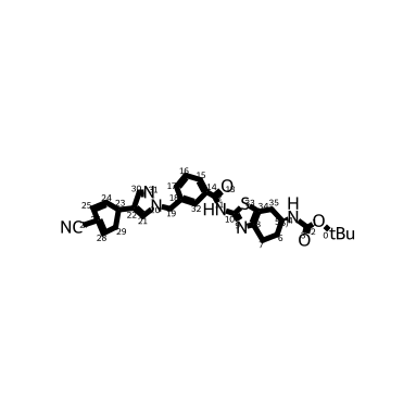 CC(C)(C)OC(=O)N[C@H]1CCc2nc(NC(=O)c3cccc(Cn4cc(C5C=CC(C#N)=CC5)cn4)c3)sc2C1